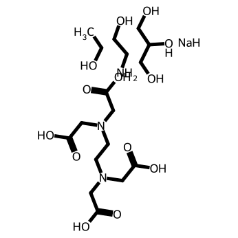 CCO.NCCO.O=C(O)CN(CCN(CC(=O)O)CC(=O)O)CC(=O)O.OCC(O)CO.[NaH]